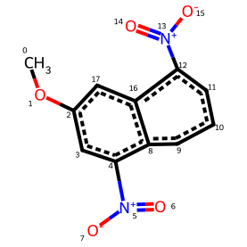 COc1cc([N+](=O)[O-])c2cccc([N+](=O)[O-])c2c1